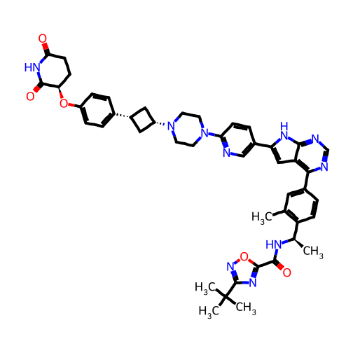 Cc1cc(-c2ncnc3[nH]c(-c4ccc(N5CCN([C@H]6C[C@@H](c7ccc(O[C@@H]8CCC(=O)NC8=O)cc7)C6)CC5)nc4)cc23)ccc1[C@@H](C)NC(=O)c1nc(C(C)(C)C)no1